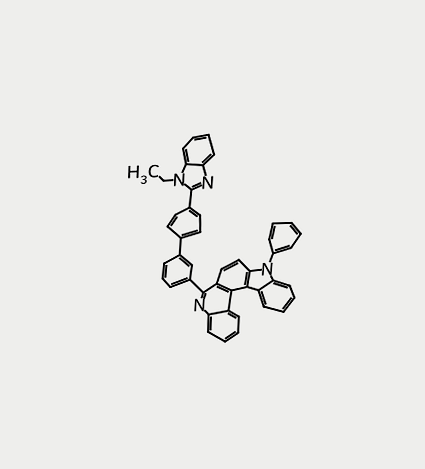 CCn1c(-c2ccc(-c3cccc(-c4nc5ccccc5c5c4ccc4c5c5ccccc5n4-c4ccccc4)c3)cc2)nc2ccccc21